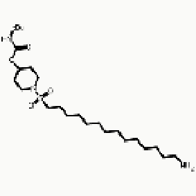 CC(C)(C)NC(=O)OC1CCN(S(=O)(=O)CCCCCCCCCCCCCCN)CC1